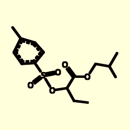 CCC(OS(=O)(=O)c1ccc(C)cc1)C(=O)OCC(C)C